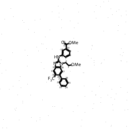 COCCn1c(Nc2cccc(C(=O)OC)c2)nc2cc(C(F)(F)F)c(-c3ccccc3)cc21